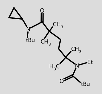 CCN(C(=O)C(C)(C)C)C(C)(C)CCC(C)(C)C(=O)N(C1CC1)C(C)(C)C